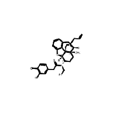 C=CCN1CC[C@]23c4c5cccc4O[C@H]2[C@@H](N(CC(C)C)C(=O)Cc2ccc(Cl)c(Cl)c2)CC[C@@]3(OC(C)=O)[C@H]1C5